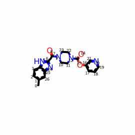 Cc1ccc2[nH]c(C(=O)N3CCN(C(=O)Oc4cccnc4)CC3)nc2c1